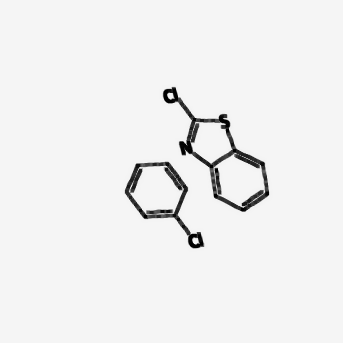 Clc1ccccc1.Clc1nc2ccccc2s1